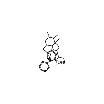 CCC(C1CCC2(C)C(C)N(C)CC3Cc4ccc(O)cc4C32C1)N(C)C(=O)c1ccccc1